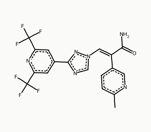 Cc1ccc(/C(=C\n2cnc(-c3cc(C(F)(F)F)nc(C(F)(F)F)c3)n2)C(N)=O)cn1